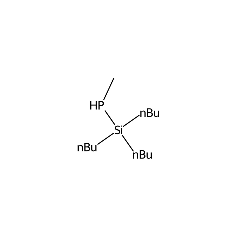 CCCC[Si](CCCC)(CCCC)PC